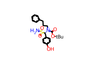 CC(C)(C)OC(=O)N(CCCc1ccccc1)[C@H](c1ccc(O)cc1)S(N)(=O)=O